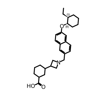 CC[C@H]1CCCC[C@H]1Oc1ccc2cc(CN3CC(C4CCCC(C(=O)O)C4)C3)ccc2c1